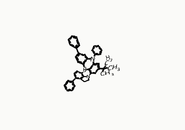 CC(C)(C)c1cc2c3c(c1)N(c1ccccc1)c1cc(-c4ccccc4)ccc1B3c1ccc(-c3ccccc3)c3c1N2CC3